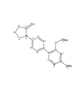 COCc1nc(SC)ncc1-c1ccc(N2CCCC2=O)cc1